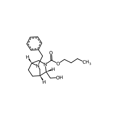 CCCCOC(=O)N1C[C@H]2CC[C@H](CN2Cc2ccccc2)[C@H]1CO